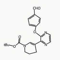 CC(C)(C)OC(=O)N1C=C(c2nccnc2Oc2ccc(C=O)cc2)CCC1